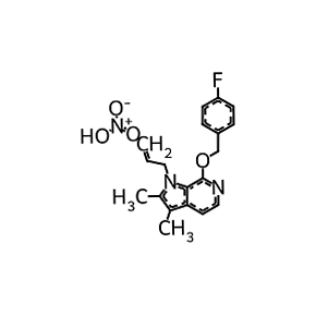 C=CCn1c(C)c(C)c2ccnc(OCc3ccc(F)cc3)c21.O=[N+]([O-])O